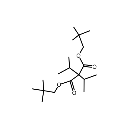 CC(C)C(C(=O)OCC(C)(C)C)(C(=O)OCC(C)(C)C)C(C)C